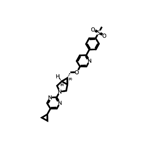 CS(=O)(=O)c1ccc(-c2ccc(OC[C@@H]3C4CN(c5ncc(C6CC6)cn5)C[C@H]43)cn2)cc1